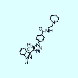 CC12CC=CC=C1NN=C2c1cn(-c2ccc(C(=O)NCCN3CCCCC3)cc2)nn1